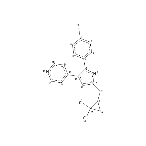 Fc1ccc(-c2nn(CC3CC3(Cl)Cl)cc2-c2ccncc2)cc1